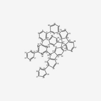 c1ccc(-c2cccc(-c3nc(-c4ccccc4)nc(-n4c5cc(-c6ccccc6)ccc5c5ccc(C6(c7ccccc7)c7ccccc7-c7ccccc76)cc54)n3)c2)cc1